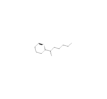 CCCCCC(C)C1CCCC=N1